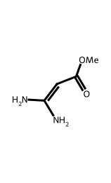 COC(=O)C=C(N)N